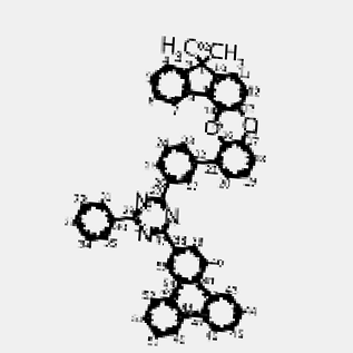 CC1(C)c2ccccc2-c2c1ccc1c2Oc2c(cccc2-c2cccc(-c3nc(-c4ccccc4)nc(-c4ccc5c6ccccc6c6ccccc6c5c4)n3)c2)O1